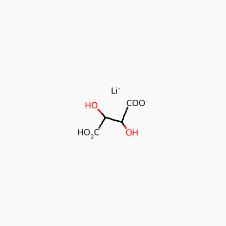 O=C([O-])C(O)C(O)C(=O)O.[Li+]